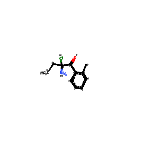 Cc1ccccc1C(=O)C(N)(Cl)CC(=O)O